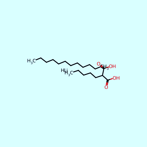 CCCCCC(C(=O)O)C(=O)O.CCCCCCCCCCCC.[LiH]